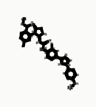 CCOC(C)c1ccc(C)cc1N1C(=O)CS/C1=N\C(=O)Nc1ccc(-c2ncn(-c3ccc(OC(F)(F)F)cc3)n2)cc1C